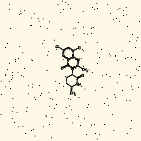 C=C1CCC(n2c(C)nc3c(Cl)cc(Cl)cc3c2=O)C(=O)N1